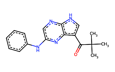 CC(C)(C)C(=O)c1c[nH]c2ncc(Nc3ccccc3)nc12